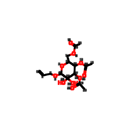 C=CCOC1OC(COC(C)=O)C(OC(C)=O)C(OC(C)=O)C1(O)O